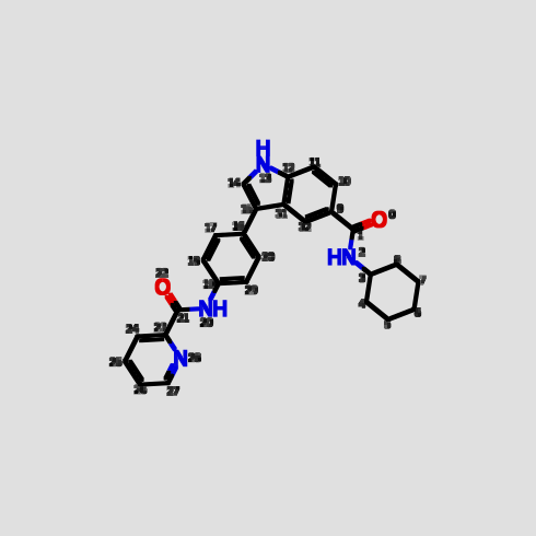 O=C(NC1CCCCC1)c1ccc2[nH]cc(-c3ccc(NC(=O)c4ccccn4)cc3)c2c1